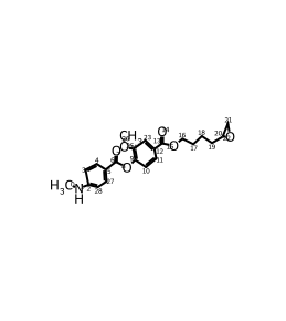 CNc1ccc(C(=O)Oc2ccc(C(=O)OCCCCC3CO3)cc2OC)cc1